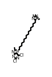 Cc1nc2nc(Cl)nc(Cl)c2n1CCCCCCCCCCCCCCCc1nnnn1C